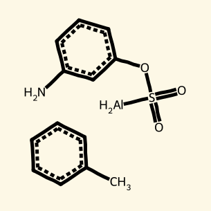 Cc1ccccc1.Nc1cccc(O[S](=O)(=O)[AlH2])c1